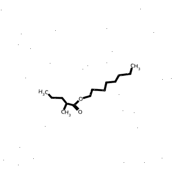 CCCCCCCCOC(=O)C(C)CCC